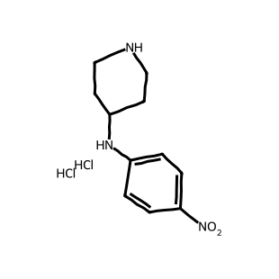 Cl.Cl.O=[N+]([O-])c1ccc(NC2CCNCC2)cc1